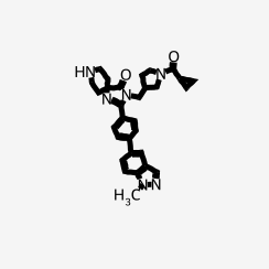 Cn1ncc2cc(-c3ccc(C4=NC5(CCNCC5)C(=O)N4CC4CCN(C(=O)C5CC5)C4)cc3)ccc21